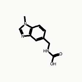 Cn1cnc2cc(CNC(=O)O)ccc21